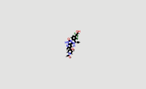 C#C[C@@H](Nc1nc(=O)[nH]c2nc(C)c(C3(OC)CCN(C(C)=O)CC3)cc12)c1cccc(C(F)(F)CO)c1F